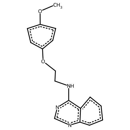 COc1ccc(OCCNc2ncnc3ccccc23)cc1